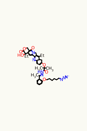 CCC1=C2Cn3c(cc4c(c3=O)COC(=O)[C@]4(O)CC)C2=NC2=CC=C(OC(C)(C)C(=O)N/N=C(\C)c3ccccc3OCCCCCCN=[N+]=[N-])CC21